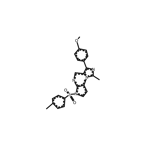 COc1ccc(-c2nc(C)n3c2cnc2c3ccn2S(=O)(=O)c2ccc(C)cc2)cc1